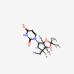 CC1(C)O[C@H]2[C@H](n3ccc(=O)[nH]c3=O)CC(F)(CI)[C@H]2O1